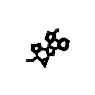 COC(c1cnnn1N1C=NC2c3ccccc3-n3c(cnc3Cl)N21)C1CC1